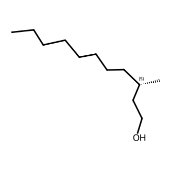 CCCCCCCC[C@H](C)CCO